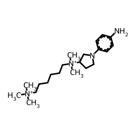 C[N+](C)(C)CCCCCC[N+](C)(C)C1CCN(c2ccc(N)cc2)C1